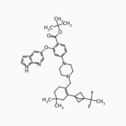 CC1(C)CCC(CN2CCN(c3ccc(C(=O)OC(C)(C)C)c(Oc4cnc5[nH]ccc5c4)c3)CC2)=C(C23CC(C(C)(F)F)(C2)C3)C1